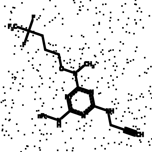 C#CCNc1nc(NCCC)nc(N(C)OCCCC(F)(F)C(F)(F)F)n1